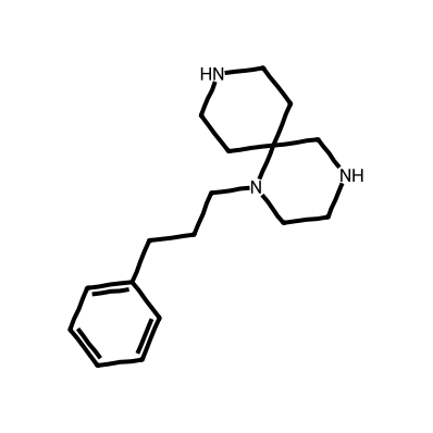 c1ccc(CCCN2CCNCC23CCNCC3)cc1